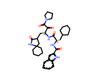 O=C(N[C@@H](CC1CCCCC1)C(=O)N[C@@H](CC1CC2(CCCCC2)NC1=O)C(=O)C(=O)N1CCCC1)c1cc2ccccc2[nH]1